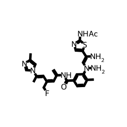 C=C(/C=C(\C=C(/C)n1cnc(C)c1)CF)NC(=O)c1ccc(C)c(N(N)/C=C(\N)c2cnc(NC(C)=O)s2)c1